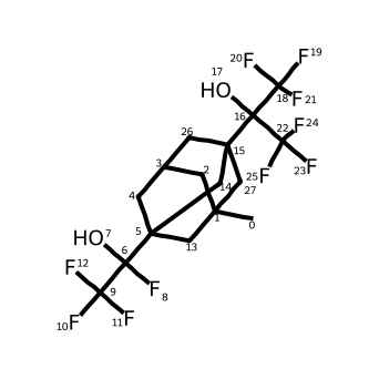 CC12CC3CC(C(O)(F)C(F)(F)F)(C1)CC(C(O)(C(F)(F)F)C(F)(F)F)(C3)C2